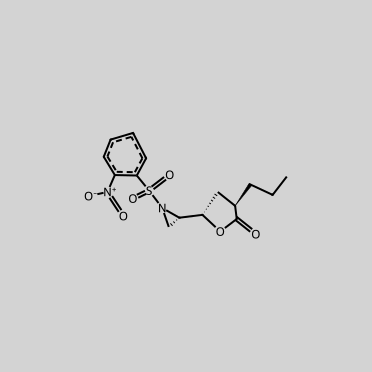 CCC[C@@H]1C[C@@H]([C@@H]2CN2S(=O)(=O)c2ccccc2[N+](=O)[O-])OC1=O